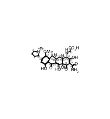 CCN1CCC[C@H]1c1cc(O)c2c(c1OC)C[C@H]1C[C@H]3[C@H](NCC(=O)O)C(O)=C(C(N)=O)C(=O)[C@@]3(O)C(O)=C1C2=O